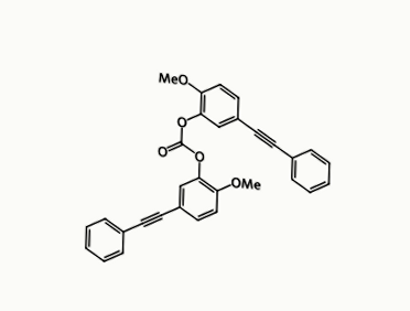 COc1ccc(C#Cc2ccccc2)cc1OC(=O)Oc1cc(C#Cc2ccccc2)ccc1OC